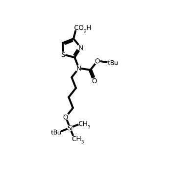 CC(C)(C)OC(=O)N(CCCCO[Si](C)(C)C(C)(C)C)c1nc(C(=O)O)cs1